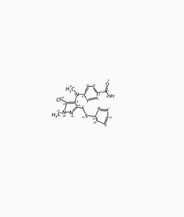 CCCC(=O)c1ccc(N(C)c2c(CSc3ccccc3)nn(C)c2Cl)cc1